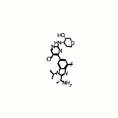 CC(C)n1c([C@H](C)N)nc2c(F)cc(-c3nc(N[C@@H]4CCOC[C@H]4O)ncc3Cl)cc21